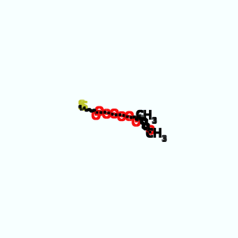 COc1ccc2cc([C@H](C)C(=O)CCOCCOCCOCCOCCOC(=O)CCCCC3CCSS3)ccc2c1